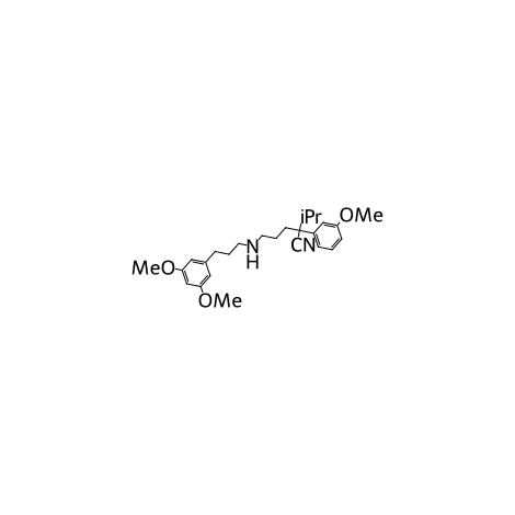 COc1cc(CCCNCCCC(C#N)(c2cccc(OC)c2)C(C)C)cc(OC)c1